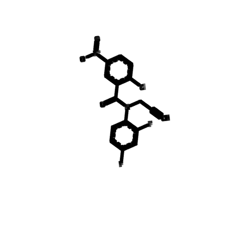 C#CCN(C(=O)c1cc([N+](=O)[O-])ccc1Cl)c1ccc(F)cc1F